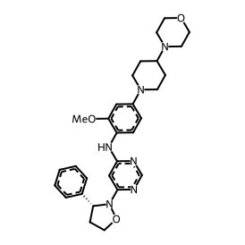 COc1cc(N2CCC(N3CCOCC3)CC2)ccc1Nc1cc(N2OCC[C@@H]2c2ccccc2)ncn1